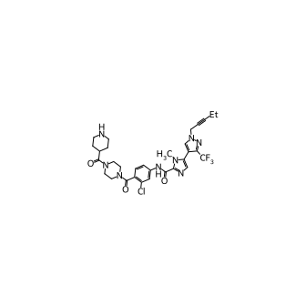 CCC#CCn1cc(-c2cnc(C(=O)Nc3ccc(C(=O)N4CCN(C(=O)C5CCNCC5)CC4)c(Cl)c3)n2C)c(C(F)(F)F)n1